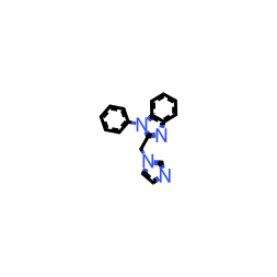 c1ccc(-n2c(Cn3ccnc3)nc3ccccc32)cc1